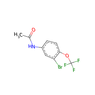 CC(=O)Nc1ccc(OC(F)(F)F)c(Br)c1